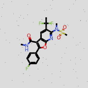 CNC(=O)c1c(-c2ccc(F)cc2)oc2nc(N(C)S(C)(=O)=O)c(C(C)(F)F)cc12